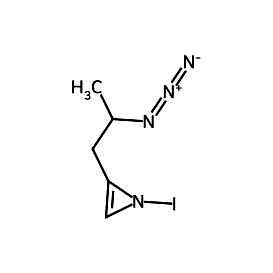 CC(CC1=CN1I)N=[N+]=[N-]